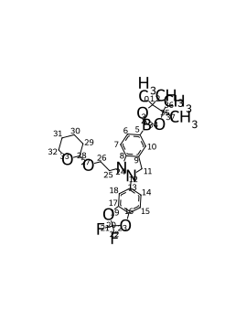 CC1(C)OB(c2ccc3c(c2)CN(c2ccc4c(c2)OC(F)(F)O4)N3CCOC2CCCCO2)OC1(C)C